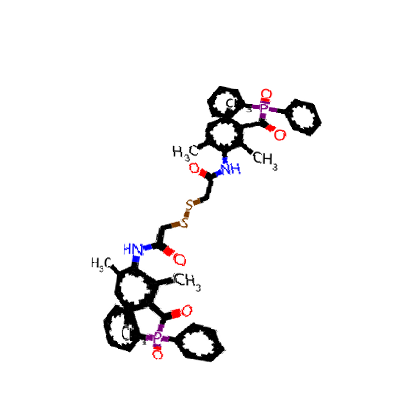 Cc1cc(C)c(C(=O)P(=O)(c2ccccc2)c2ccccc2)c(C)c1NC(=O)CSSCC(=O)Nc1c(C)cc(C)c(C(=O)P(=O)(c2ccccc2)c2ccccc2)c1C